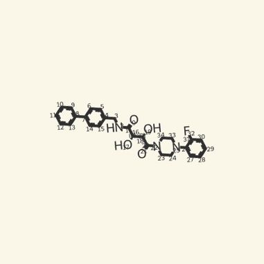 O=C(NCc1ccc(-c2ccccc2)cc1)[C@H](O)[C@@H](O)C(=O)N1CCN(c2ccccc2F)CC1